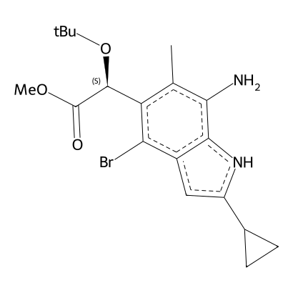 COC(=O)[C@@H](OC(C)(C)C)c1c(C)c(N)c2[nH]c(C3CC3)cc2c1Br